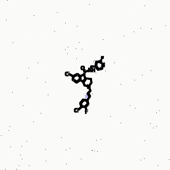 O=C(NCc1ccnc(F)c1)C1C2=C(CN(C/C=C/c3ccc(Cl)c(F)c3)CC2)c2ccc(Cl)cc21